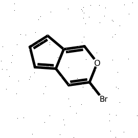 Brc1cc2cccc-2co1